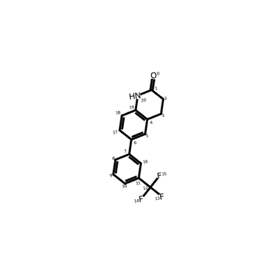 O=C1CCc2cc(-c3cccc(C(F)(F)F)c3)ccc2N1